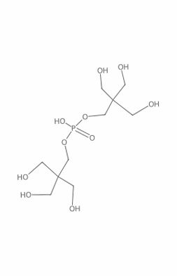 O=P(O)(OCC(CO)(CO)CO)OCC(CO)(CO)CO